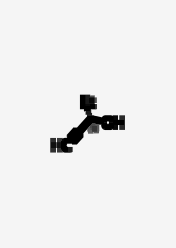 C#C[C@@H](O)CC